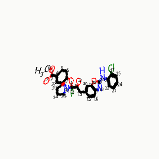 COC(=O)C1CCC(OC(F)(C(=O)Cc2ccc3nc(Nc4ccccc4Cl)oc3c2)N2CCCC2)CC1